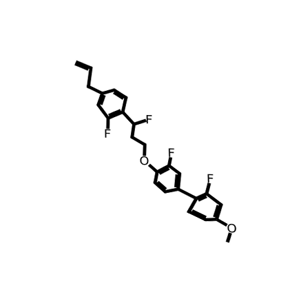 C=CCc1ccc(C(F)CCOc2ccc(-c3ccc(OC)cc3F)cc2F)c(F)c1